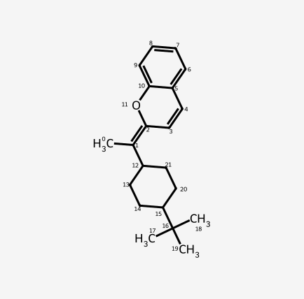 CC(=C1C=Cc2ccccc2O1)C1CCC(C(C)(C)C)CC1